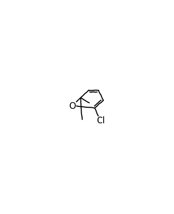 CC12C=CC=C(Cl)C1(C)O2